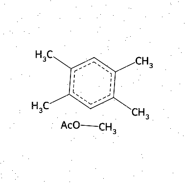 COC(C)=O.Cc1cc(C)c(C)cc1C